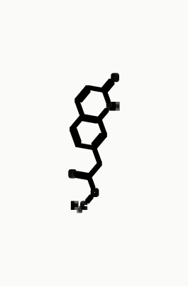 COC(=O)Cc1ccc2ccc(=O)[nH]c2c1